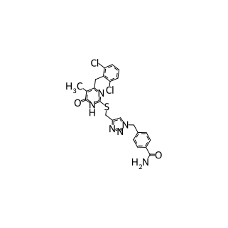 Cc1c(Cc2c(Cl)cccc2Cl)nc(SCc2cn(Cc3ccc(C(N)=O)cc3)nn2)[nH]c1=O